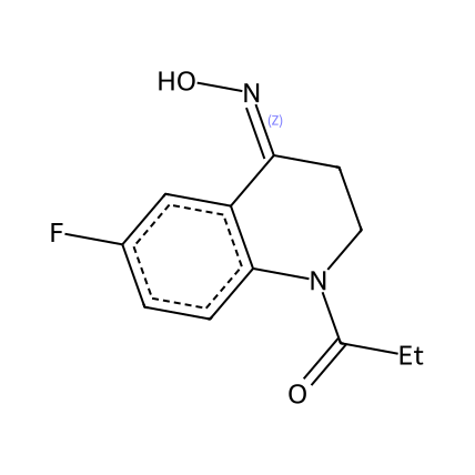 CCC(=O)N1CC/C(=N/O)c2cc(F)ccc21